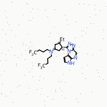 CC[C@@H]1C[C@H](N(CCCC(F)(F)F)CCCC(F)(F)F)C[C@@H]1c1nnc2cnc3[nH]ccc3n12